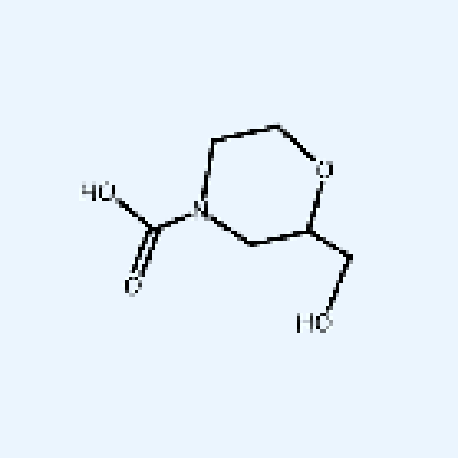 O=C(O)N1CCOC(CO)C1